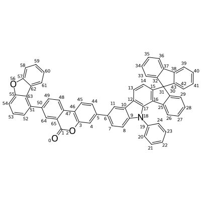 O=c1oc2cc(-c3ccc4c(c3)c3ccc5c(c3n4-c3ccccc3)-c3ccccc3C53c4ccccc4-c4ccccc43)ccc2c2ccc(-c3cccc4oc5ccccc5c34)cc12